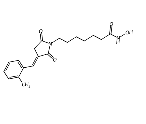 Cc1ccccc1/C=C1\CC(=O)N(CCCCCCC(=O)NO)C1=O